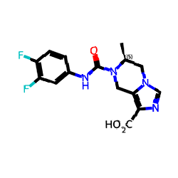 C[C@H]1Cn2cnc(C(=O)O)c2CN1C(=O)Nc1ccc(F)c(F)c1